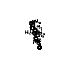 CC1(C)C(C2=CC[C@](CF)(C(=O)OCc3ccccc3)CC2)=CC[C@]2(C)C3CCC4C5CCC[C@]5(N)CCC4[C@]3(C)CC[C@H]12